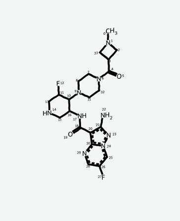 CN1CC(C(=O)N2CCN(C3C(F)CNCC3NC(=O)c3c(N)nn4cc(F)cnc34)CC2)C1